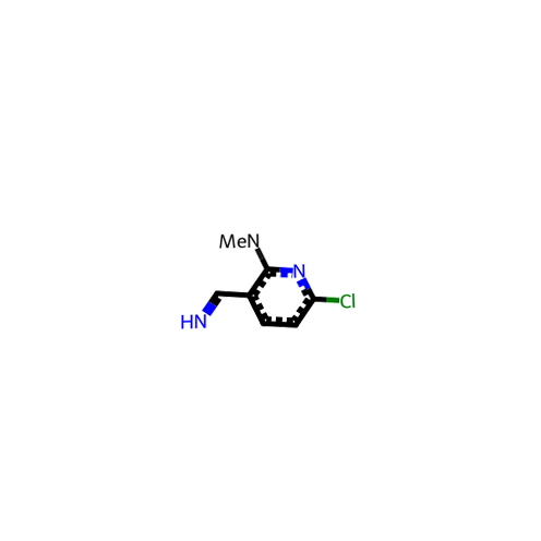 CNc1nc(Cl)ccc1C=N